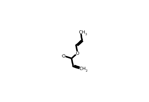 C=CC([O])OC=CC